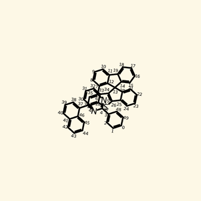 c1ccc(-c2nc(-c3cccc4c3C3(c5ccccc5-4)c4ccccc4-c4sc5ccccc5c43)cc(-c3cccc4ccccc34)n2)cc1